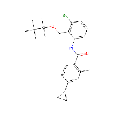 Cc1cc(C2CC2)ccc1C(=O)Nc1cccc(Br)c1CO[Si](C)(C)C(C)(C)C